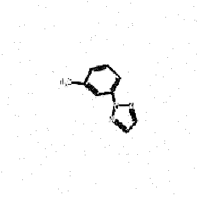 Cc1cccc(-n2nccn2)c1